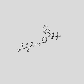 COc1ccc(-c2nc(C(F)(F)F)oc2-c2ccc(OCCNC(=O)NCC(N)=O)cc2)cn1